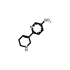 O=[N+]([O-])c1ccc(C2=CCCNC2)nc1